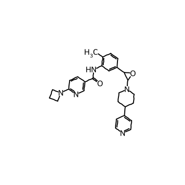 Cc1ccc(C2OC2N2CCC(c3ccncc3)CC2)cc1NC(=O)c1ccc(N2CCC2)nc1